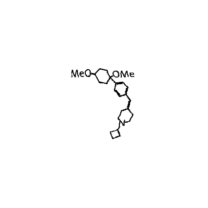 COC1CCC(OC)(c2ccc(C=C3CCN(C4CCC4)CC3)cc2)CC1